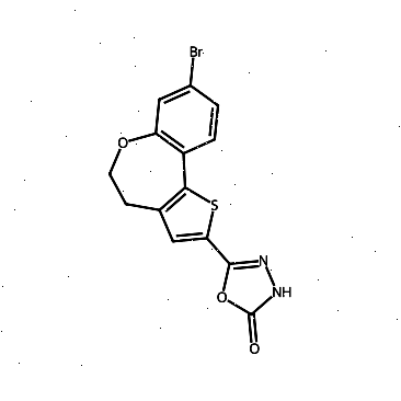 O=c1[nH]nc(-c2cc3c(s2)-c2ccc(Br)cc2OCC3)o1